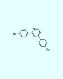 Brc1ccc(-c2cc(-c3ccc(Br)cc3)ncn2)cc1